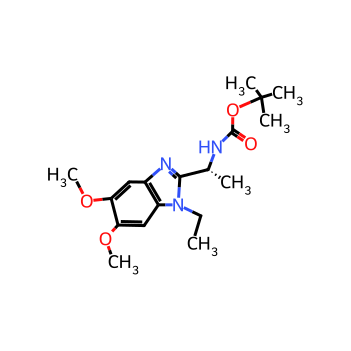 CCn1c([C@@H](C)NC(=O)OC(C)(C)C)nc2cc(OC)c(OC)cc21